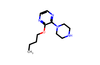 CCCCOc1nccnc1N1CCNCC1